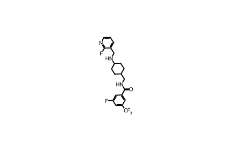 O=C(NCC1CCC(NCc2cccnc2F)CC1)c1cc(F)cc(C(F)(F)F)c1